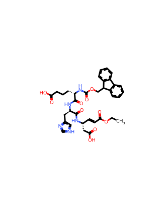 CCOC(=O)/C=C/[C@H](CC(=O)O)NC(=O)[C@@H](Cc1c[nH]cn1)NC(=O)[C@H](CCCC(=O)O)NC(=O)OCC1c2ccccc2-c2ccccc21